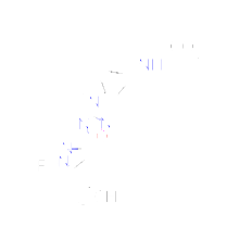 CCn1nc(-c2nc(N3CCc4cc(CNCCC(=O)O)ccc43)no2)c2c1CC(C)(C)CC2